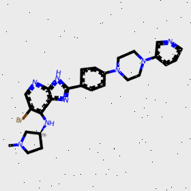 CN1CC[C@H](Nc2c(Br)cnc3[nH]c(-c4ccc(N5CCN(c6cccnc6)CC5)cc4)nc23)C1